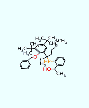 CCCCCC(C)(Pc1ccccc1C(C)O)c1cc(C(C)(C)C)cc(C(C)(C)C)c1OCc1ccccc1